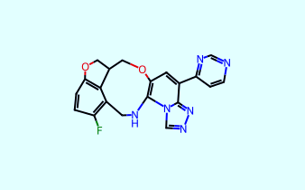 Fc1ccc2c3c1CNc1c(cc(-c4ccncn4)c4nncn14)OCC3CO2